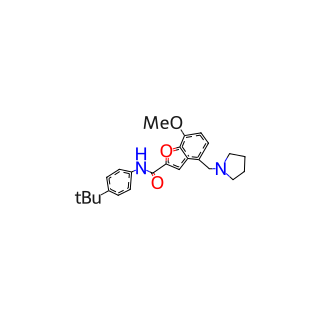 COc1ccc(CN2CCCC2)c2cc(C(=O)Nc3ccc(C(C)(C)C)cc3)oc12